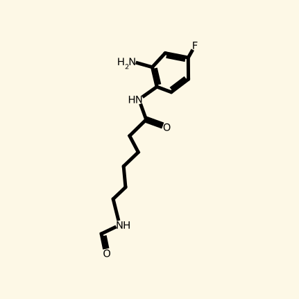 Nc1cc(F)ccc1NC(=O)CCCCCNC=O